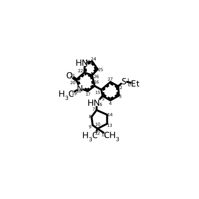 CCSc1ccc(NC2CCC(C)(C)CC2)c(-c2cn(C)c(=O)c3[nH]ccc23)c1